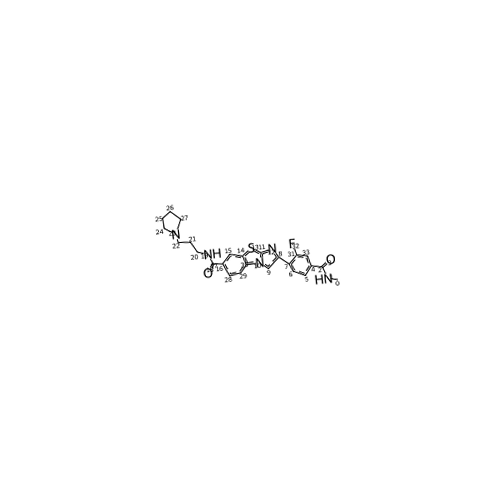 CNC(=O)c1ccc(-c2cn3c(n2)sc2cc(C(=O)NCCCN4CCCC4)ccc23)c(F)c1